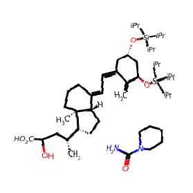 C=C1/C(=C\C=C2CCC[C@]3(C)[C@@H]([C@H](C)CC(O)C(=O)O)CC[C@@H]23)C[C@H](O[Si](C(C)C)(C(C)C)C(C)C)C[C@H]1O[Si](C(C)C)(C(C)C)C(C)C.NC(=O)N1CCCCC1